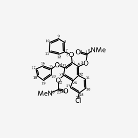 CNC(=O)Oc1c(Oc2ccccc2)c(Oc2ccccc2)c(OC(=O)NC)c2cc(Cl)ccc12